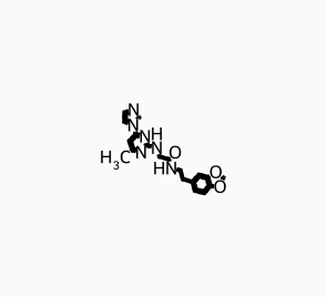 Cc1cc(-n2ccnc2)nc(NCC(=O)NCCc2ccc3c(c2)OCO3)n1